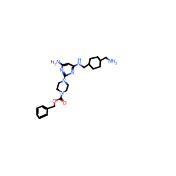 NCC1CCC(CNc2cc(N)nc(N3CCN(C(=O)OCc4ccccc4)CC3)n2)CC1